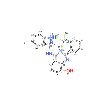 Oc1cccc2c(Nc3n[nH]c4ccc(F)cc34)nc(-c3ccccc3C(F)(F)F)nc12